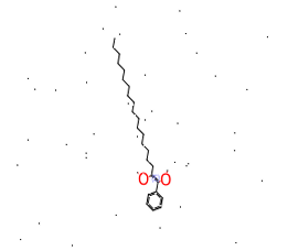 CCCCCCCCCCCCCCCCC/C(OC)=C(\OC)c1ccccc1